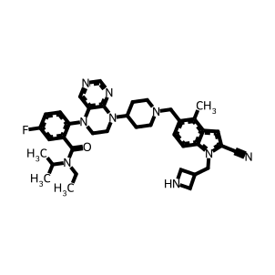 CCN(C(=O)c1cc(F)ccc1N1CCN(C2CCN(Cc3ccc4c(cc(C#N)n4CC4CNC4)c3C)CC2)c2ncncc21)C(C)C